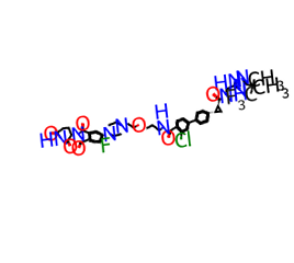 CC(C)(c1n[nH]c(CNC(=O)[C@H]2C[C@@H]2c2ccc(-c3ccc(C(=O)NCCCOCCN4CCN(c5cc6c(cc5F)C(=O)N(C5CCC(=O)NC5=O)C6=O)CC4)c(Cl)c3)cc2)n1)C(F)(F)F